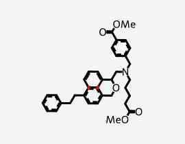 COC(=O)CCCCN(Cc1ccc(C(=O)OC)cc1)CC(OCc1ccc(CCc2ccccc2)cc1)C1=CC=CCC1